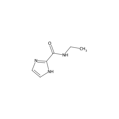 CCNC(=O)c1ncc[nH]1